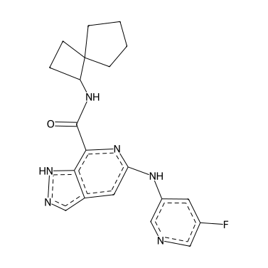 O=C(NC1CCC12CCCC2)c1nc(Nc2cncc(F)c2)cc2cn[nH]c12